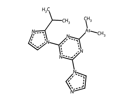 CC(C)c1nccn1-c1nc(-n2ccnc2)nc([As](C)C)n1